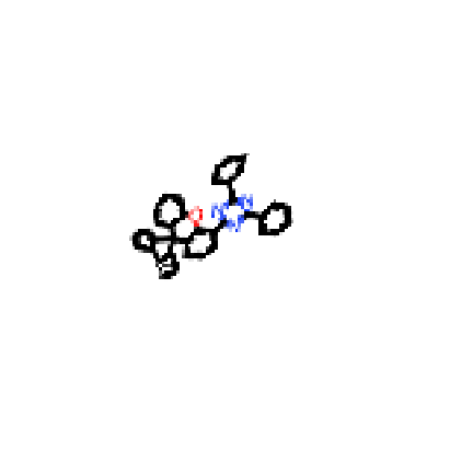 c1ccc(-c2nc(-c3ccccc3)nc(-c3cccc4c3Oc3ccccc3C43c4ccccc4-c4ccccc43)n2)cc1